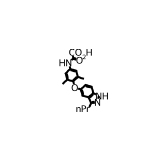 CCCc1n[nH]c2ccc(Oc3c(C)cc(NC(=O)C(=O)O)cc3C)cc12